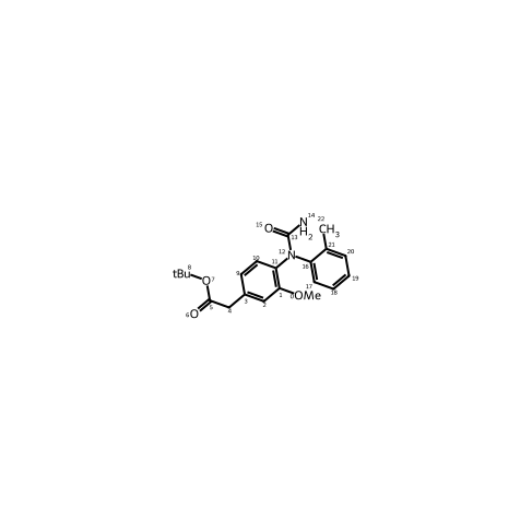 COc1cc(CC(=O)OC(C)(C)C)ccc1N(C(N)=O)c1ccccc1C